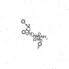 Nc1c(Oc2ccc(F)cc2)ncn(CC2(O)CCN(C(=O)[C@@H]3CC[C@@](F)(C#Cc4ccccc4)C[C@H]3c3ccccc3)CC2)c1=O